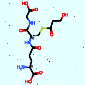 N[C@@H](CCC(=O)N[C@@H](CSC(=O)CCO)C(=O)NCC(=O)O)C(=O)O